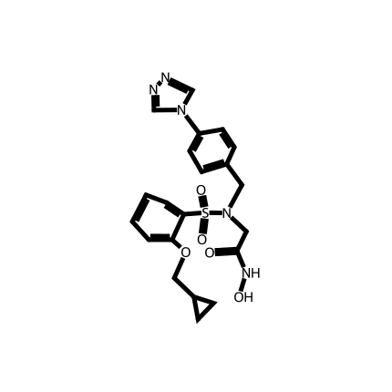 O=C(CN(Cc1ccc(-n2cnnc2)cc1)S(=O)(=O)c1ccccc1OCC1CC1)NO